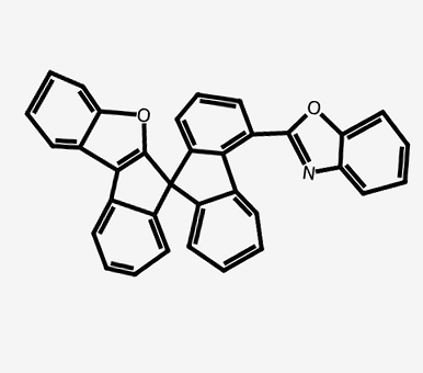 c1ccc2c(c1)-c1c(-c3nc4ccccc4o3)cccc1C21c2ccccc2-c2c1oc1ccccc21